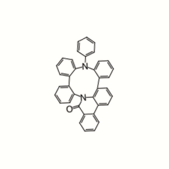 O=c1c2ccccc2c2cccc3c2n1-c1ccccc1-c1ccccc1N(c1ccccc1)c1ccccc1-3